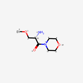 CCOC[C@H](N)C(=O)N1CCOCC1